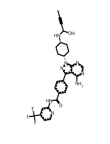 CC#CC(O)N[C@H]1CC[C@H](n2nc(-c3ccc(C(=O)Nc4cc(C(F)(F)F)ccn4)cc3)c3c(N)ncnc32)CC1